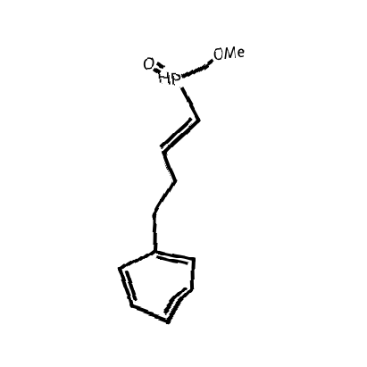 CO[PH](=O)C=CCCc1ccccc1